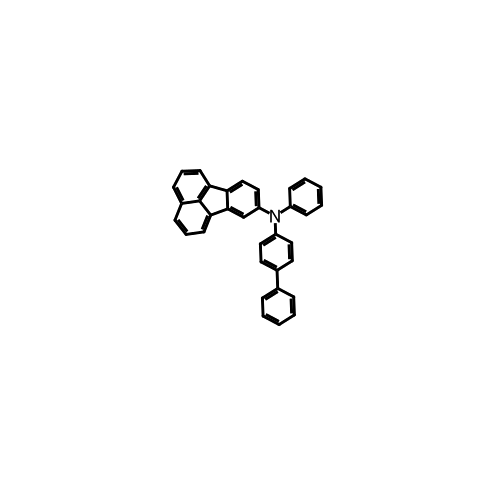 c1ccc(-c2ccc(N(c3ccccc3)c3ccc4c(c3)-c3cccc5cccc-4c35)cc2)cc1